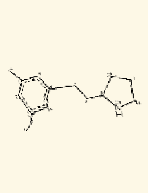 Cc1cc(C)cc(CCC2CCCN2)c1